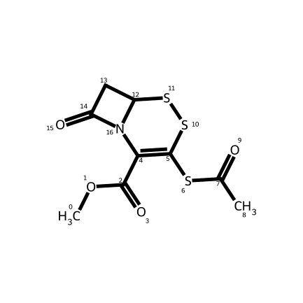 COC(=O)C1=C(SC(C)=O)SSC2CC(=O)N12